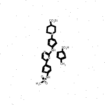 CCOC(=O)C1CCN(c2ccc(Nc3nccc(-c4ccc(NS(C)(=O)=O)cc4)n3)cc2)CC1.Cc1ccc(S(=O)(=O)O)cc1